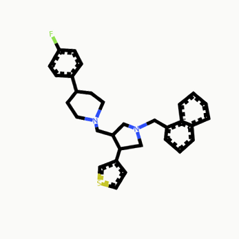 Fc1ccc(C2CCN(CC3CN(Cc4cccc5ccccc45)CC3c3ccsc3)CC2)cc1